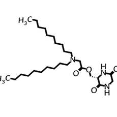 CCCCCCCCCCN(CCCCCCCCCC)CC(=O)OC[C@@H]1NC(=O)CNC1=O